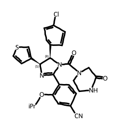 CC(C)Oc1cc(C#N)ccc1C1=N[C@@H](c2ccsc2)[C@@H](c2ccc(Cl)cc2)N1C(=O)N1CCNC(=O)C1